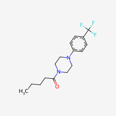 CCCCC(=O)N1CCN(c2ccc(C(F)(F)F)cc2)CC1